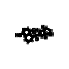 Cc1cnc(O)c2cccc(S(=O)(=O)N3C[C@@H]4CCN[C@@H]4C3)c12